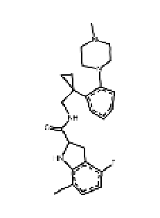 Cc1ccc(F)c2c1NC(C(=O)NCC1(c3ccccc3N3CCN(C)CC3)CC1)C2